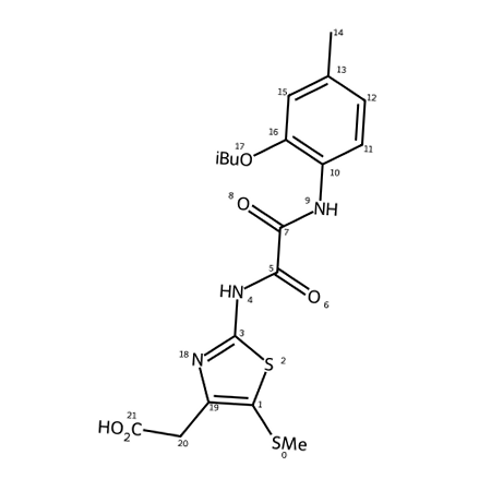 CSc1sc(NC(=O)C(=O)Nc2ccc(C)cc2OCC(C)C)nc1CC(=O)O